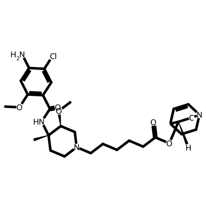 COc1cc(N)c(Cl)cc1C(=O)N[C@@]1(C)CCN(CCCCCC(=O)O[C@H]2CN3C=CC2CC3)C[C@@H]1OC